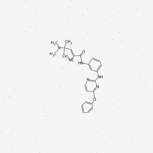 CN(C)C(C)(C)/C=C(\C#N)C(=O)Nc1cccc(Nc2nccc(Oc3ccccc3)n2)c1